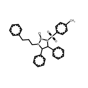 Cc1ccc(S(=O)(=O)[N]2C(c3ccccc3)C(c3ccccc3)[N](CCCc3ccccc3)[Ru]2[Cl])cc1